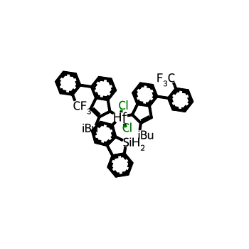 CCC(C)C1=Cc2c(-c3ccccc3C(F)(F)F)cccc2[CH]1[Hf]([Cl])([Cl])([c]1cccc2c1[SiH2]c1ccccc1-2)[CH]1C(C(C)CC)=Cc2c(-c3ccccc3C(F)(F)F)cccc21